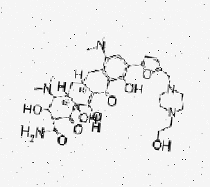 CN(C)c1cc(-c2ccc(CN3CCN(CCO)CC3)o2)c(O)c2c1C[C@H]1C[C@H]3C(N(C)C)C(O)C(C(N)=O)C(=O)[C@@]3(O)C(O)=C1C2=O